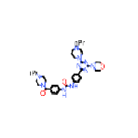 CCCN1CCCN(c2nc(-c3ccc(NC(=O)Nc4ccc(C(=O)N5CCN(C(C)C)CC5)cc4)cc3)nc(N3CCOCC3)n2)CC1